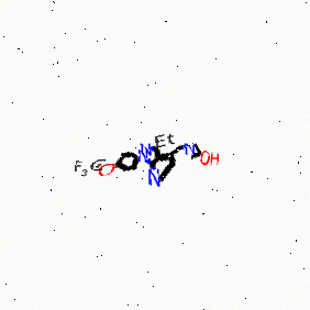 CCc1nn(-c2ccc(OC(F)(F)F)cc2)c2nccc(CN3CC(O)C3)c12